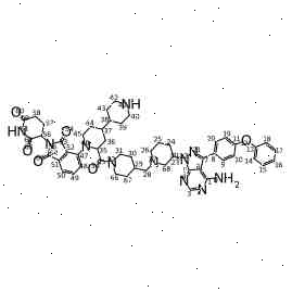 Nc1ncnc2c1c(-c1ccc(Oc3ccccc3)cc1)nn2[C@@H]1CCCN(CC2CCN(C(=O)C3CC(C4CCNCC4)CCN3c3cccc4c3C(=O)N(C3CCC(=O)NC3=O)C4=O)CC2)C1